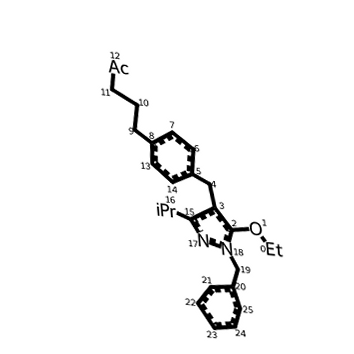 CCOc1c(Cc2ccc(CCCC(C)=O)cc2)c(C(C)C)nn1Cc1ccccc1